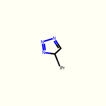 CC(C)C1C=NN=N1